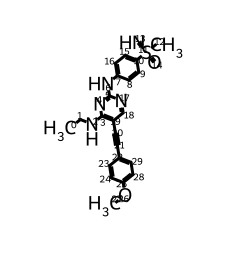 CCNc1nc(Nc2ccc(S(C)(=N)=O)cc2)ncc1C#Cc1ccc(OC)cc1